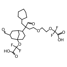 O=CC1CC2CC(OC(F)(F)C(=O)O)(CCC2C(C=O)(CCOCCOC(F)(F)C(=O)O)CC2CCCCC2)C1